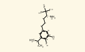 CC(C)c1cc(CCC[C@@H](N)C(F)(F)F)cc(Cl)c1F